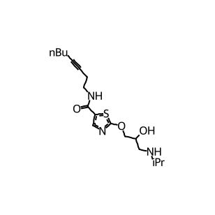 CCCCC#CCCNC(=O)c1cnc(OCC(O)CNC(C)C)s1